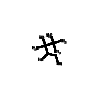 CC(C)(C)C(C)(O)C(O)CO